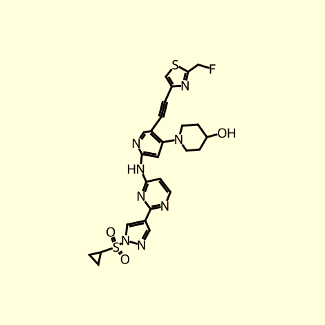 O=S(=O)(C1CC1)n1cc(-c2nccc(Nc3cc(N4CCC(O)CC4)c(C#Cc4csc(CF)n4)cn3)n2)cn1